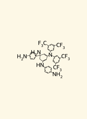 Nc1ccc(NC2=CC(N(c3cc(C(F)(F)F)cc(C(F)(F)F)c3)c3cc(C(F)(F)F)cc(C(F)(F)F)c3)=CC(N)(c3ccc(N)cc3)C2)cc1